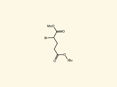 COC(=O)C(Br)CCC(=O)OC(C)(C)C